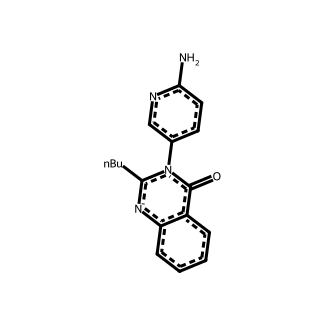 CCCCc1nc2ccccc2c(=O)n1-c1ccc(N)nc1